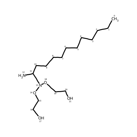 CCCCCCCCCCCC(N)N(OCCO)OCCO